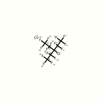 [Cs+].[O-]C(C(F)(F)C(F)(F)F)(C(F)(F)C(F)(F)F)C(F)(F)C(F)(F)F